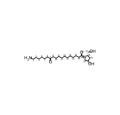 NCCCCCCC(=O)CCCCCCCCCCC(=O)N1C[C@H](O)C[C@H]1CO